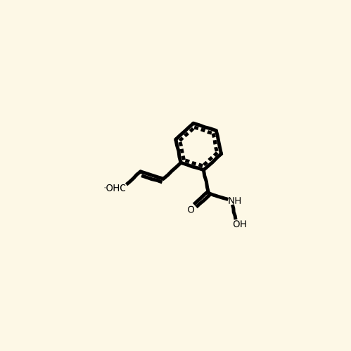 O=[C]C=Cc1ccccc1C(=O)NO